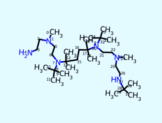 CN(CCN)CCN(C(C)(C)C)C(C)(C)CCC(C)(C)N(CCN(C)CCNC(C)(C)C)C(C)(C)C